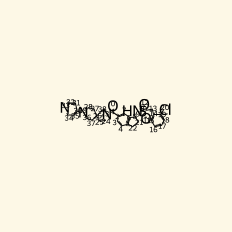 O=C(c1ccc2c(c1)[C@H](NS(=O)(=O)Cc1ccccc1Cl)CC2)N1CCC2(CCN(c3ccncc3)CC2)C1